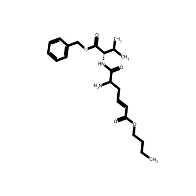 CCCCOC(=O)C=CCC(N)C(=O)N[C@H](C(=O)OCc1ccccc1)C(C)C